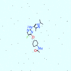 CC(=O)N[C@H]1CC[C@H](COc2nc(Nc3cn(C(C)C)nc3C)ncc2F)CC1